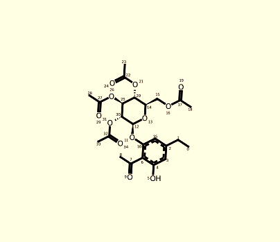 CCc1cc(O)c(C(C)=O)c(O[C@@H]2O[C@H](COC(C)=O)[C@@H](OC(C)=O)[C@H](OC(C)=O)[C@H]2OC(C)=O)c1